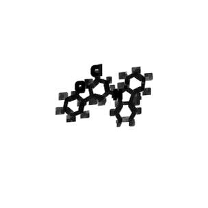 Clc1cc(-n2c3ccccc3c3ccccc32)cc2c1oc1ccccc12